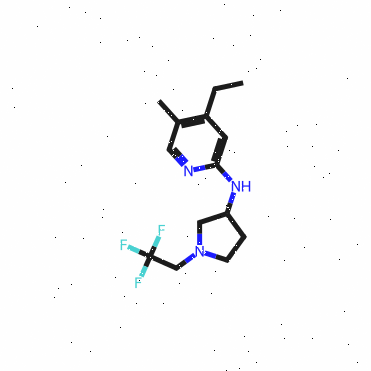 CCc1cc(NC2CCN(CC(F)(F)F)C2)ncc1C